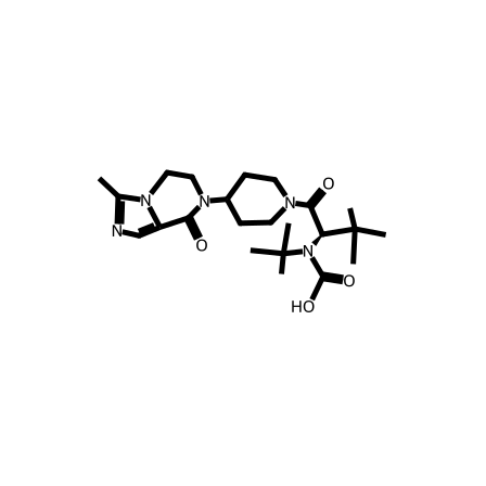 Cc1ncc2n1CCN(C1CCN(C(=O)[C@H](N(C(=O)O)C(C)(C)C)C(C)(C)C)CC1)C2=O